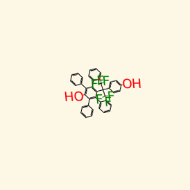 Oc1ccc(C(c2c(-c3ccccc3)c(-c3ccccc3)c(O)c(-c3ccccc3)c2-c2ccccc2)(C(F)(F)F)C(F)(F)F)cc1